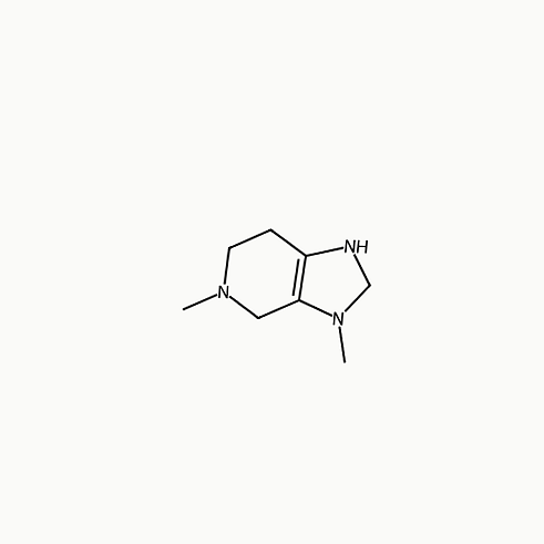 CN1CCC2=C(C1)N(C)CN2